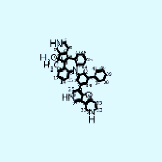 CC1(C)C2=C(C=CNC2)C2=C1c1ccccc1N(c1cc(C3=c4oc5c(c4=CNC3)CNC=C5)cc(-c3ccccc3)c1)c1ccccc12